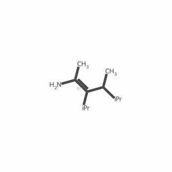 C/C(N)=C(/C(C)C)C(C)C(C)C